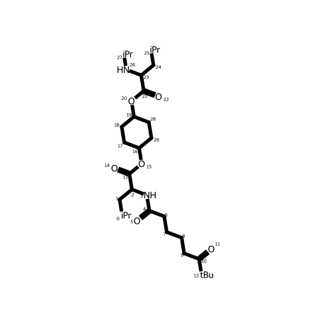 CC(C)CC(NC(=O)CCCCC(=O)C(C)(C)C)C(=O)OC1CCC(OC(=O)C(CC(C)C)NC(C)C)CC1